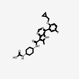 Cc1[nH]c2c(-c3cc(F)ccc3OCC3CC3)ncnc2c1C(=O)N[C@H]1CC[C@@H](NC(=O)O)CC1